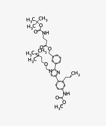 C=CCc1cc(NC(=O)OC)ccc1-c1cn(COCC[Si](C)(C)C)c(-c2cccc(COC(=O)CCNC(=O)OC(C)(C)C)c2)n1